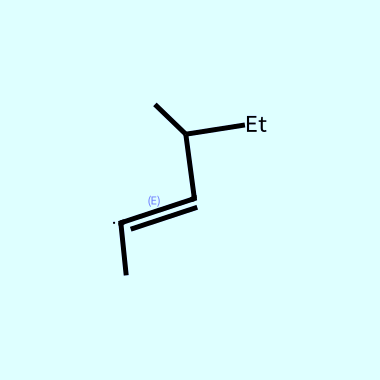 C/[C]=C/C(C)CC